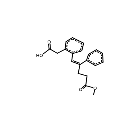 COC(=O)CCC(=Cc1ccccc1CC(=O)O)c1ccccc1